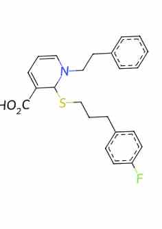 O=C(O)C1=CC=CN(CCc2ccccc2)C1SCCCc1ccc(F)cc1